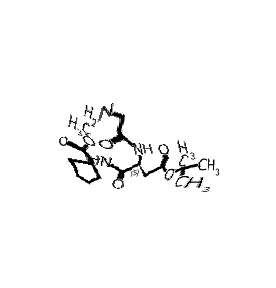 COC(=O)C1(NC(=O)[C@H](CC(=O)OC(C)(C)C)NC(=O)CN)CCCC1